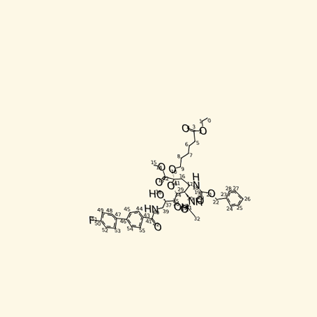 CCOC(=O)CCCCCO[C@]1(C(=O)OC)C[C@H](NC(=O)OCc2ccccc2)[C@@H](NC(C)=O)[C@H]([C@H](O)[C@H](O)CNC(=O)c2ccc(-c3ccc(F)cc3)cc2)O1